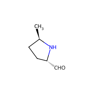 C[C@@H]1CC[C@@H](C=O)N1